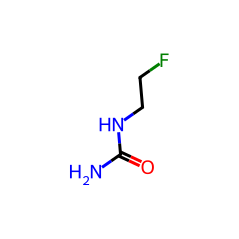 NC(=O)NCCF